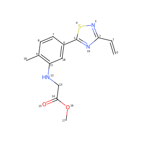 C=Cc1nsc(-c2ccc(C)c(NCC(=O)OC)c2)n1